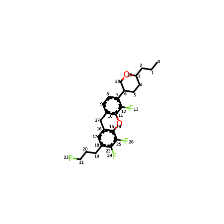 CCCC1CCC(c2ccc3c(c2F)Oc2c(cc(CCCF)c(F)c2F)C3)CO1